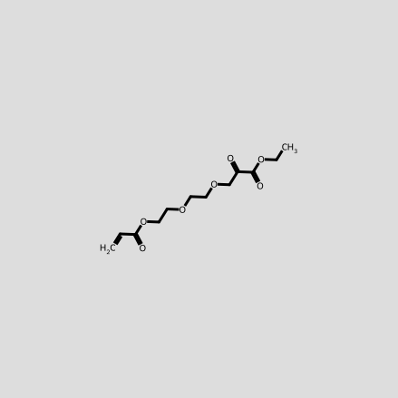 C=CC(=O)OCCOCCOCC(=O)C(=O)OCC